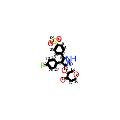 CS(=O)(=O)c1ccc(-c2[nH]nc(OC3COCCC3=O)c2-c2ccc(F)cc2)cc1